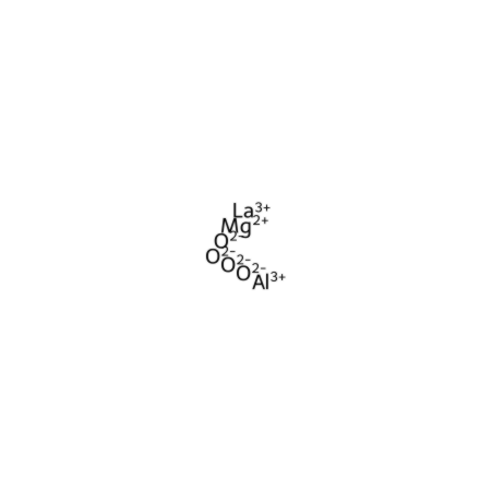 [Al+3].[La+3].[Mg+2].[O-2].[O-2].[O-2].[O-2]